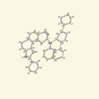 c1c(N(c2ccccc2)c2cc(-c3ccccc3)ccc2C2=CC=CCC2)cc2c(c#1)ccc1ccc3nc(-c4ccccc4)oc3c12